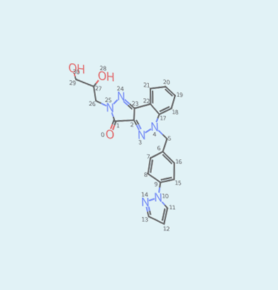 O=c1c2nn(Cc3ccc(-n4cccn4)cc3)c3ccccc3c-2nn1CC(O)CO